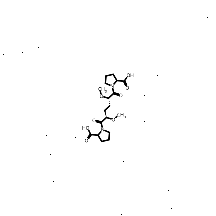 CO[C@@H](CC[C@@H](OC)C(=O)N1CCCC1C(=O)O)C(=O)N1CCCC1C(=O)O